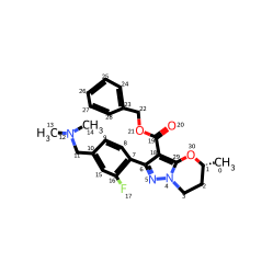 C[C@@H]1CCn2nc(-c3ccc(CN(C)C)cc3F)c(C(=O)OCc3ccccc3)c2O1